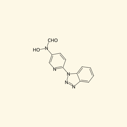 O=CN(O)c1ccc(-n2nnc3ccccc32)nc1